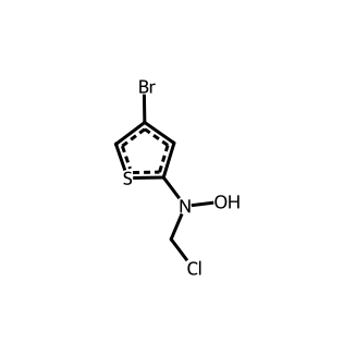 ON(CCl)c1cc(Br)cs1